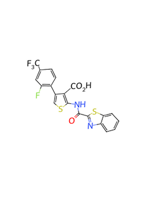 O=C(Nc1scc(-c2ccc(C(F)(F)F)cc2F)c1C(=O)O)c1nc2ccccc2s1